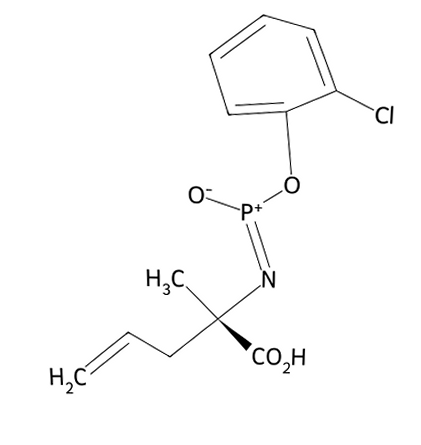 C=CC[C@](C)(/N=[P+](\[O-])Oc1ccccc1Cl)C(=O)O